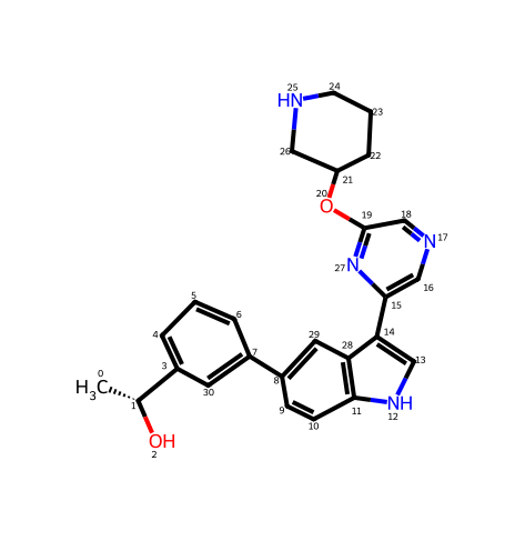 C[C@@H](O)c1cccc(-c2ccc3[nH]cc(-c4cncc(OC5CCCNC5)n4)c3c2)c1